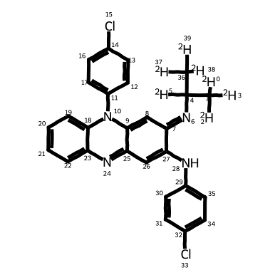 [2H]C([2H])([2H])C([2H])(N=c1cc2n(-c3ccc(Cl)cc3)c3ccccc3nc-2cc1Nc1ccc(Cl)cc1)C([2H])([2H])[2H]